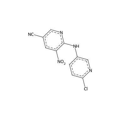 N#Cc1cnc(Nc2ccc(Cl)nc2)c([N+](=O)[O-])c1